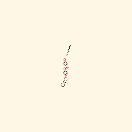 C=CCCCCCCCOc1ccc(C(=O)Oc2ccc(OCCCC3(C(C)CCC)CCCCC3)cc2)cc1